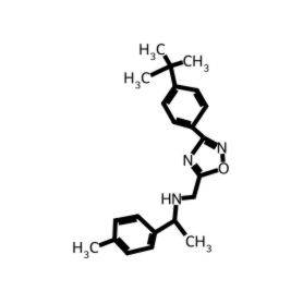 Cc1ccc(C(C)NCc2nc(-c3ccc(C(C)(C)C)cc3)no2)cc1